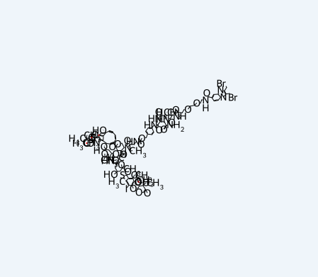 CCN(C(=O)CNC(=O)OCc1ccc(NC(=O)[C@H](CC(N)=O)NC(=O)[C@H](C)NC(=O)[C@H](C)NC(=O)CCOCCOCCNC(=O)c2ccc3nc(CBr)c(CBr)nc3c2)cc1)C1COC(OC2C(O[C@H]3C#C/C=C\C#C[C@]4(O)CC(=O)C(NC(=O)OC)=C3/C4=C\CSSC(C)(C)C)OC(C)C(NOC3CC(O)C(SC(=O)c4c(C)c(I)c(OC5OC6OC6C(OC)C5O)c(OC)c4OC)C(C)O3)C2O)CC1OC